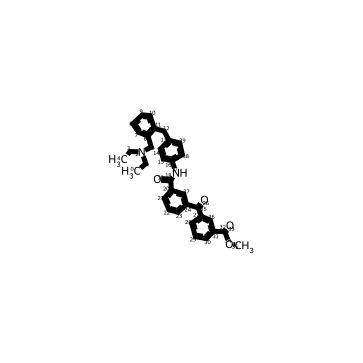 CCN(CC)Cc1ccccc1Cc1ccc(NC(=O)c2cccc(C(=O)c3cccc(C(=O)OC)c3)c2)cc1